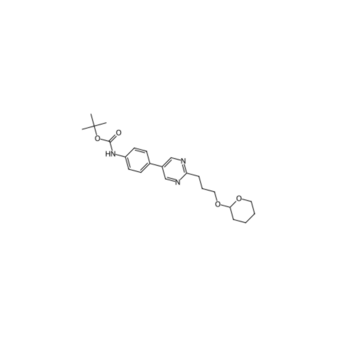 CC(C)(C)OC(=O)Nc1ccc(-c2cnc(CCCOC3CCCCO3)nc2)cc1